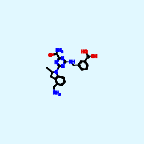 CC1Cc2c(CN)cccc2N1c1nc(NCc2cccc(B(O)O)c2)nc(C(N)=O)n1